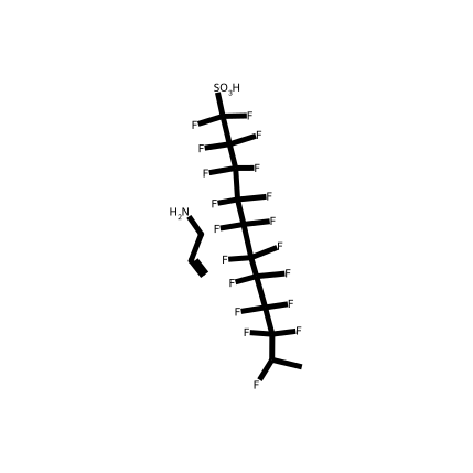 C=CCN.CC(F)C(F)(F)C(F)(F)C(F)(F)C(F)(F)C(F)(F)C(F)(F)C(F)(F)C(F)(F)C(F)(F)S(=O)(=O)O